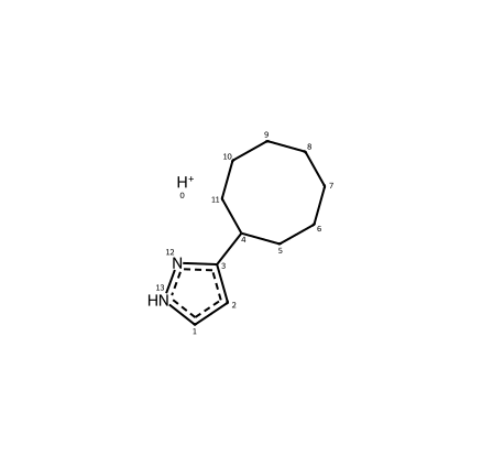 [H+].c1cc(C2CCCCCCC2)n[nH]1